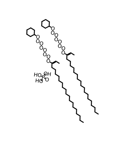 CC=C(CCCCCCCCCCCCCCCCCC)OOOOOOOOC1CCCCC1.CC=C(CCCCCCCCCCCCCCCCCC)OOOOOOOOC1CCCCC1.O=P(O)(O)O